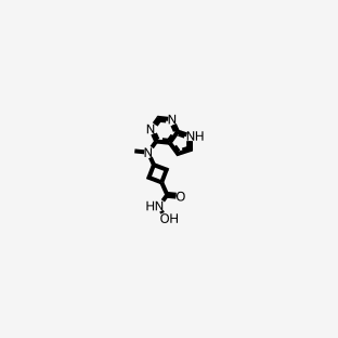 CN(c1ncnc2[nH]ccc12)C1CC(C(=O)NO)C1